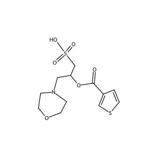 O=C(OC(CN1CCOCC1)CS(=O)(=O)O)c1ccsc1